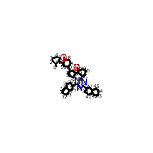 CC1CC=Cc2oc3ccc(-c4cccc5c4oc4cccc(-c6nc(-c7ccc8ccccc8c7)nc(-c7ccc8ccccc8c7)n6)c45)cc3c21